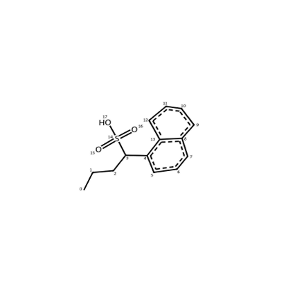 CCCC(c1cccc2ccccc12)S(=O)(=O)O